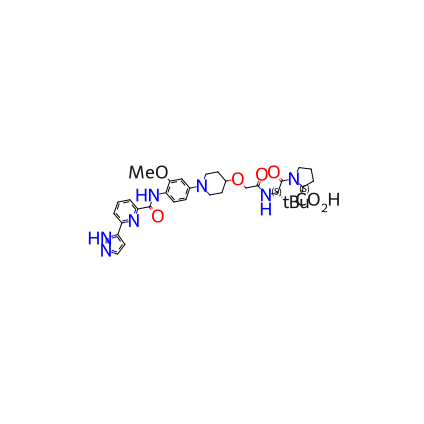 COc1cc(N2CCC(OCC(=O)N[C@H](C(=O)N3CCC[C@H]3C(=O)O)C(C)(C)C)CC2)ccc1NC(=O)c1cccc(-c2ccn[nH]2)n1